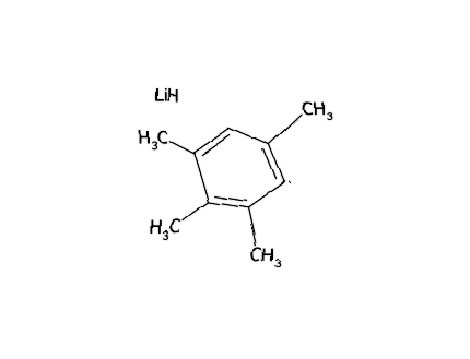 Cc1[c]c(C)c(C)c(C)c1.[LiH]